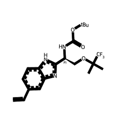 C=Cc1ccc2[nH]c([C@H](COC(C)(C)C(F)(F)F)NC(=O)OC(C)(C)C)nc2c1